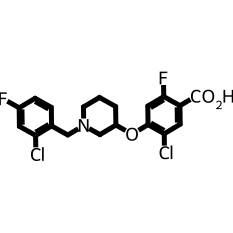 O=C(O)c1cc(Cl)c(OC2CCCN(Cc3ccc(F)cc3Cl)C2)cc1F